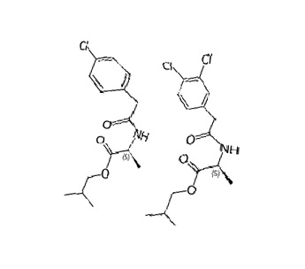 CC(C)COC(=O)[C@H](C)NC(=O)Cc1ccc(Cl)c(Cl)c1.CC(C)COC(=O)[C@H](C)NC(=O)Cc1ccc(Cl)cc1